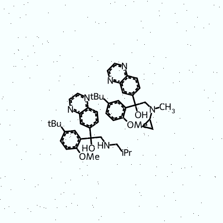 COc1ccc(C(C)(C)C)cc1C(O)(CN(C)C1CC1)c1ccc2nccnc2c1.COc1ccc(C(C)(C)C)cc1C(O)(CNCC(C)C)c1ccc2nccnc2c1